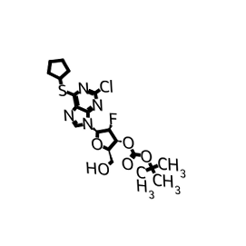 CC(C)(C)OC(=O)O[C@H]1[C@H](F)[C@H](n2cnc3c(SC4CCCC4)nc(Cl)nc32)O[C@@H]1CO